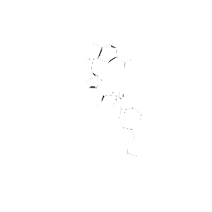 Cc1ccc(C(F)F)cc1Nc1nc(C(=O)NS(=O)(=O)N2CCOC(COC(F)F)CC2)co1